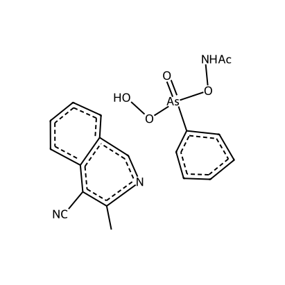 CC(=O)NO[As](=O)(OO)c1ccccc1.Cc1ncc2ccccc2c1C#N